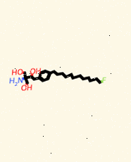 NC(CO)(CO)C(O)Cc1ccc(CCCCCCCCCCCCF)cc1